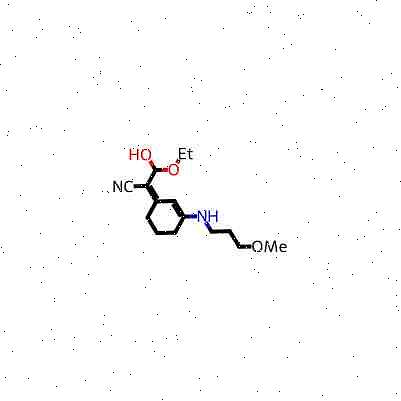 CCOC(O)/C(C#N)=C1\C=C(NCCCOC)CCC1